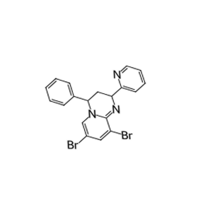 BrC1=CN2C(=NC(c3ccccn3)CC2c2ccccc2)C(Br)=C1